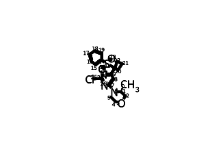 C[C@H]1COCCN1c1cc(C2(S(=O)(=O)c3ccccc3)CCC2)nc(Cl)n1